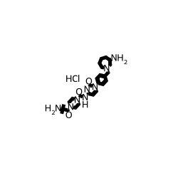 CC(C)(N)C(=O)N1CCN(C(=O)Nc2ccn(-c3ccc(CN4CCCCC(N)C4)cc3)c(=O)n2)CC1.Cl